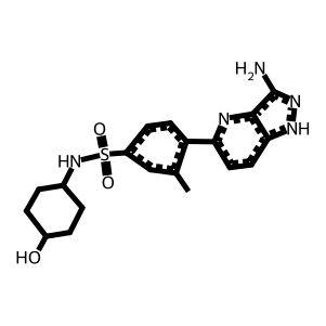 Cc1cc(S(=O)(=O)NC2CCC(O)CC2)ccc1-c1ccc2[nH]nc(N)c2n1